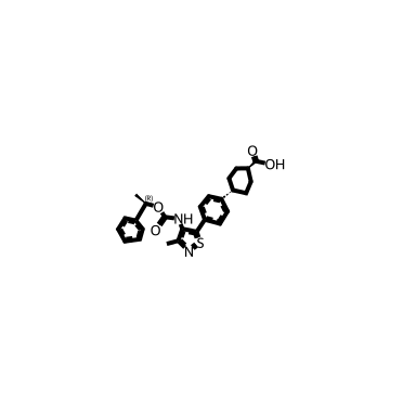 Cc1nsc(-c2ccc([C@H]3CC[C@H](C(=O)O)CC3)cc2)c1NC(=O)O[C@H](C)c1ccccc1